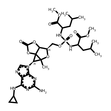 COC(=O)C(CC(C)C)NP(=O)(NC(CC(C)C)C(=O)OC)OC[C@H]1OC2(C)[C@@H](n3cnc4c(NC5CC5)nc(N)nc43)C23OC(=O)OC13